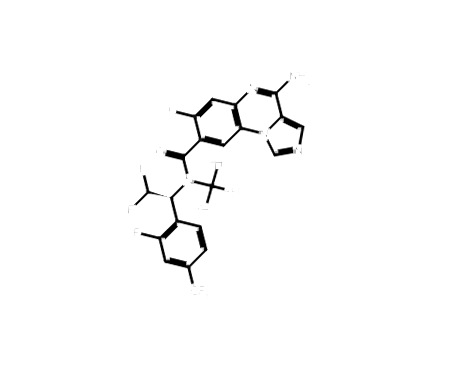 [2H]C([2H])([2H])N(C(=O)c1cc2c(cc1F)nc(N)c1cncn12)[C@@H](c1ccc(C(F)(F)F)cc1F)C(F)F